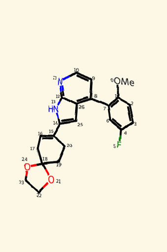 COc1ccc(F)cc1-c1ccnc2[nH]c(C3=CCC4(CC3)OCCO4)cc12